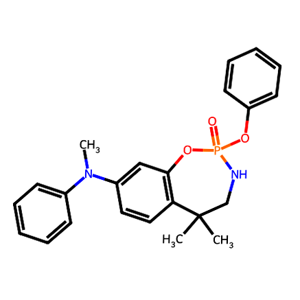 CN(c1ccccc1)c1ccc2c(c1)OP(=O)(Oc1ccccc1)NCC2(C)C